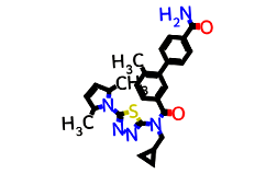 Cc1ccc(C(=O)N(CC2CC2)c2nnc(N3C(C)C=CC3C)s2)cc1-c1ccc(C(N)=O)cc1